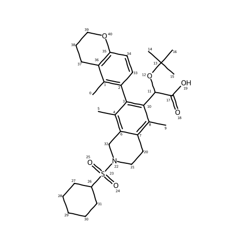 Cc1c(-c2c(C)c3c(c(C)c2C(OC(C)(C)C)C(=O)O)CCN(S(=O)(=O)C2CCCCC2)C3)ccc2c1CCCO2